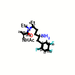 CCC(CC[C@H](N)Cc1cc(F)c(F)cc1F)N(CC)C(=O)[C@H](C)NC(C)=O